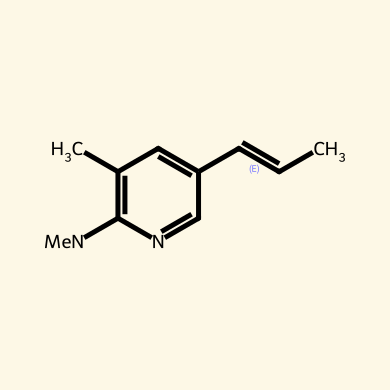 C/C=C/c1cnc(NC)c(C)c1